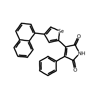 O=C1NC(=O)C(c2cc(-c3cccc4ccccc34)c[se]2)=C1c1ccccc1